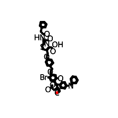 CN(c1ccccc1)c1ccc2c(c1)Oc1cc(OCc3ccc(OCC4=C(C(=O)O)N5C(=O)[C@H](NC(=O)Cc6ccccc6)C5SC4)cc3)c(Br)cc1C21OC(=O)c2ccccc21